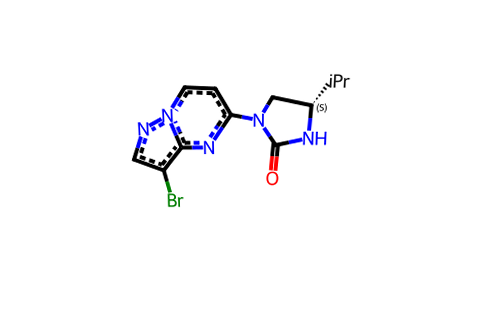 CC(C)[C@H]1CN(c2ccn3ncc(Br)c3n2)C(=O)N1